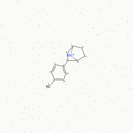 N#Cc1ccc(C2CC3CCC2N3)cc1